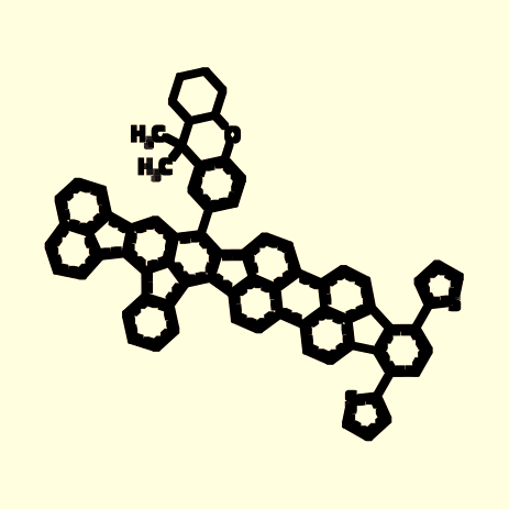 CC1(C)c2cc(-c3c4cc5c6cccc7cccc(c76)c5c5c6ccccc6c(c6c7ccc8c9ccc%10c%11c(ccc(c%12ccc(c36)c7c%128)c%119)-c3c(-c6cccs6)ccc(-c6cccs6)c3-%10)c45)ccc2OC2CCCCC21